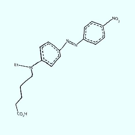 CCN(CCCCC(=O)O)c1ccc(/N=N/c2ccc([N+](=O)[O-])cc2)cc1